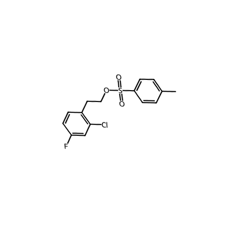 Cc1ccc(S(=O)(=O)OCCc2ccc(F)cc2Cl)cc1